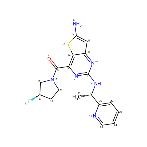 C[C@H](Nc1nc(C(=O)N2CC[C@@H](F)C2)c2sc(N)cc2n1)c1ccccn1